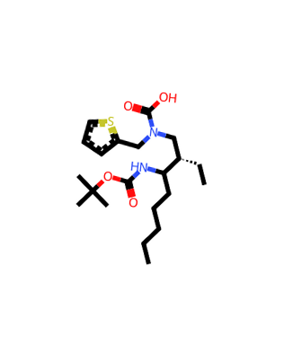 CCCCCC(NC(=O)OC(C)(C)C)[C@@H](CC)CN(Cc1cccs1)C(=O)O